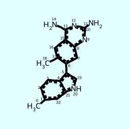 Cc1ccc2c(-c3cc4nc(N)nc(N)c4cc3C)c[nH]c2c1